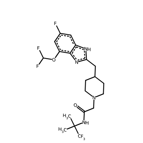 CC(C)(NC(=O)CN1CCC(Cc2nc3c(OC(F)F)cc(F)cc3[nH]2)CC1)C(F)(F)F